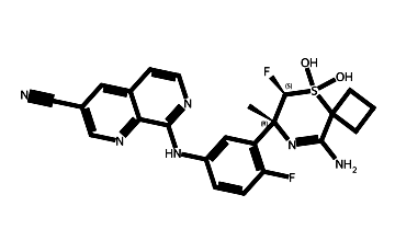 C[C@]1(c2cc(Nc3nccc4cc(C#N)cnc34)ccc2F)N=C(N)C2(CCC2)S(O)(O)[C@@H]1F